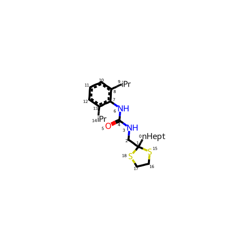 CCCCCCCC1(CNC(=O)Nc2c(C(C)C)cccc2C(C)C)SCCS1